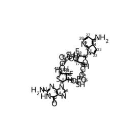 Nc1nc2c(ncn2[C@@H]2S[C@@H]3COP(=O)(S)O[C@H]4[C@H](F)[C@H](n5ccc6c(N)ccnc65)O[C@@H]4COP(=O)(S)O[C@@H]2[C@@H]3F)c(=O)[nH]1